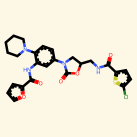 O=C(Nc1cc(N2CC(CNC(=O)c3ccc(Cl)s3)OC2=O)ccc1N1CCCCC1)c1ccco1